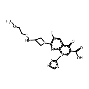 COCCONC1CN(c2nc3c(cc2F)c(=O)c(C(=O)O)cn3-c2ncns2)C1